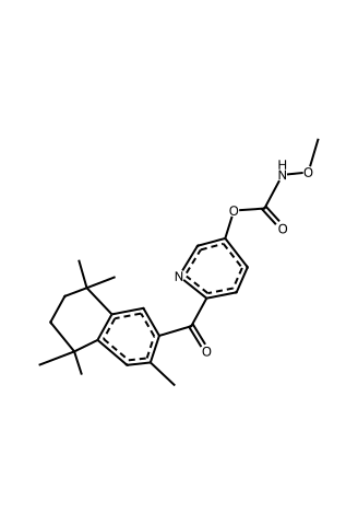 CONC(=O)Oc1ccc(C(=O)c2cc3c(cc2C)C(C)(C)CCC3(C)C)nc1